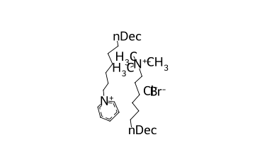 CCCCCCCCCCCCCCCC[N+](C)(C)C.CCCCCCCCCCCCCCCC[n+]1ccccc1.[Br-].[Cl-]